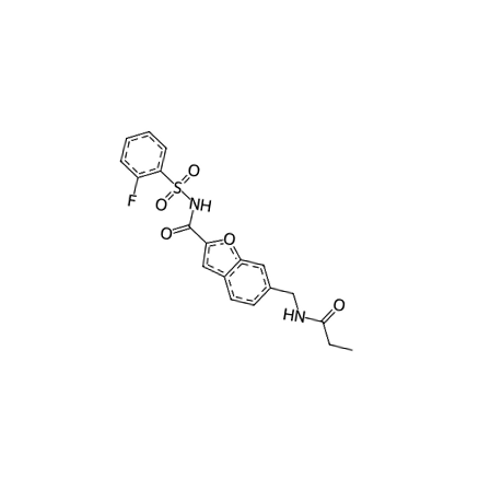 CCC(=O)NCc1ccc2cc(C(=O)NS(=O)(=O)c3ccccc3F)oc2c1